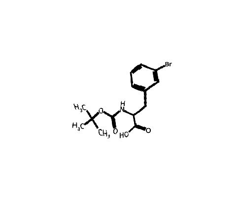 CC(C)(C)OC(=O)NC(Cc1cccc(Br)c1)C(=O)O